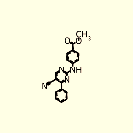 COC(=O)c1ccc(Nc2ncc(C#N)c(-c3ccccc3)n2)cc1